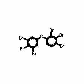 Brc1cc(Oc2ccc(Br)c(Br)c2Br)cc(Br)c1Br